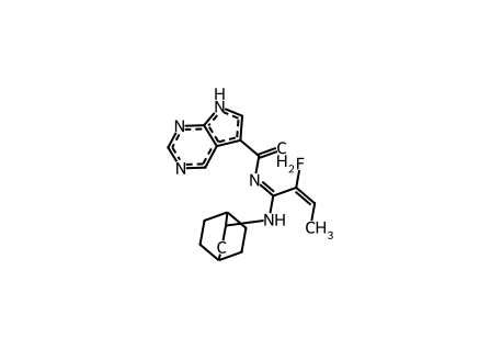 C=C(/N=C(NC1CC2CCC1CC2)\C(F)=C/C)c1c[nH]c2ncncc12